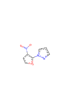 O=[N+]([O-])c1ccoc1-n1cccn1